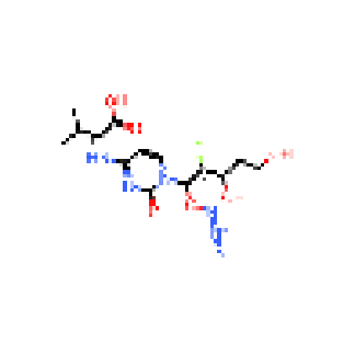 CC(C)[C@@H](Nc1ccn(C(ON=[N+]=[N-])[C@@H](F)C(O)CCO)c(=O)n1)C(=O)O